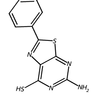 Nc1nc(S)c2nc(-c3ccccc3)sc2n1